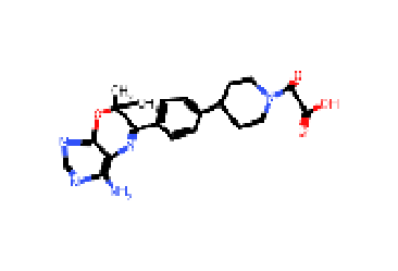 CC1(C)Oc2ncnc(N)c2N=C1c1ccc(C2CCN(C(=O)C(=O)O)CC2)cc1